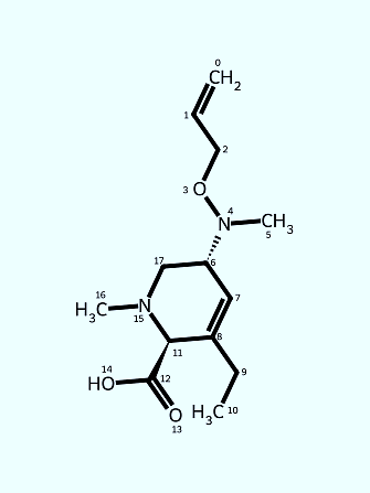 C=CCON(C)[C@@H]1C=C(CC)[C@@H](C(=O)O)N(C)C1